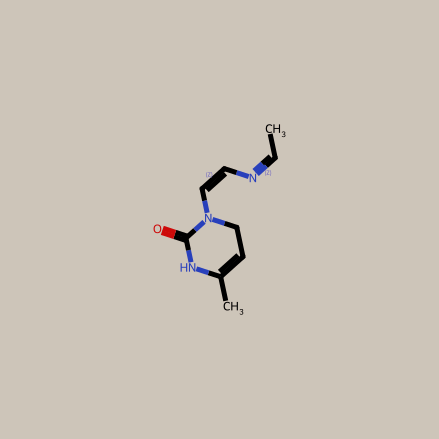 C/C=N\C=C/N1CC=C(C)NC1=O